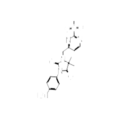 CC(C)(C)c1ccc(N2C(=O)N(Cc3ccnc(S(C)(=O)=O)n3)C(C)(C)C2=O)cc1